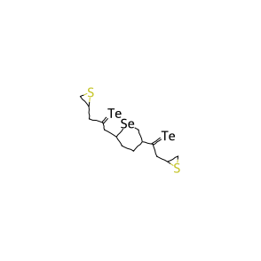 [Te]=C(CC1CS1)CC1CCC(C(=[Te])CC2CS2)C[Se]1